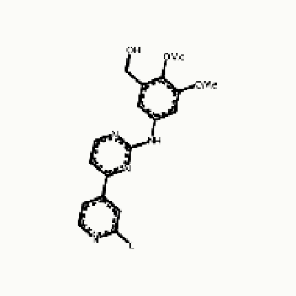 COc1cc(Nc2nccc(-c3ccnc(Cl)c3)n2)cc(CO)c1OC